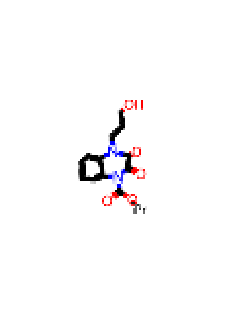 CC(C)OC(=O)n1c(=O)c(=O)n(CCCO)c2ccccc21